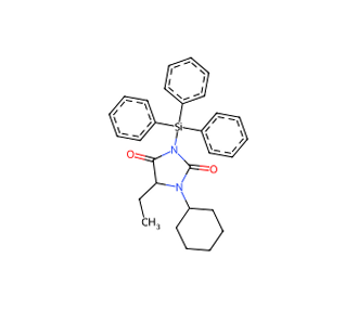 CCC1C(=O)N([Si](c2ccccc2)(c2ccccc2)c2ccccc2)C(=O)N1C1CCCCC1